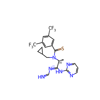 C[C@@H](/C(=N/C=N)Nc1ncccn1)N(CC1CC1)C(=S)c1cc(C(F)(F)F)cc(C(F)(F)F)c1